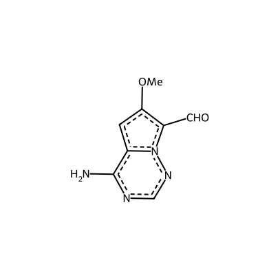 COc1cc2c(N)ncnn2c1C=O